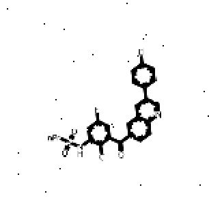 CCCS(=O)(=O)Nc1cc(F)cc(C(=O)c2ccc3ncc(-c4ccc(Cl)cc4)cc3c2)c1Cl